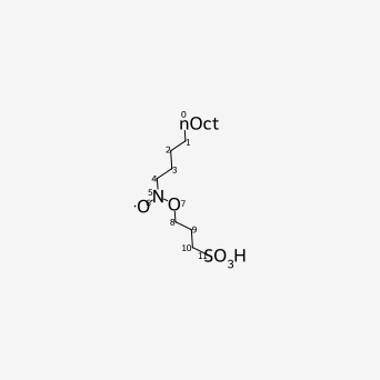 CCCCCCCCCCCCN([O])OCCCS(=O)(=O)O